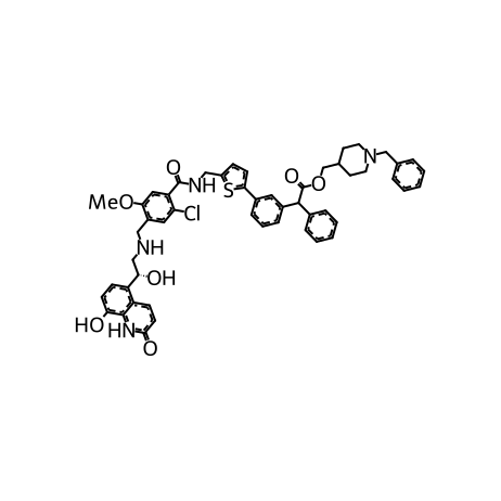 COc1cc(C(=O)NCc2ccc(-c3cccc(C(C(=O)OCC4CCN(Cc5ccccc5)CC4)c4ccccc4)c3)s2)c(Cl)cc1CNC[C@H](O)c1ccc(O)c2[nH]c(=O)ccc12